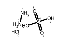 Cl.NN.O=S(=O)(O)O